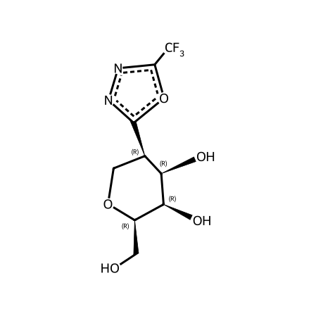 OC[C@H]1OC[C@@H](c2nnc(C(F)(F)F)o2)[C@@H](O)[C@H]1O